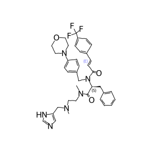 CN(CCN(C)C(=O)[C@H](Cc1ccccc1)N(Cc1ccc(N2CCOCC2)cc1)C(=O)/C=C/c1ccc(C(F)(F)F)cc1)Cc1cnc[nH]1